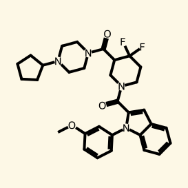 COc1cccc(-n2c(C(=O)N3CCC(F)(F)C(C(=O)N4CCN(C5CCCC5)CC4)C3)cc3ccccc32)c1